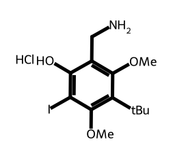 COc1c(I)c(O)c(CN)c(OC)c1C(C)(C)C.Cl